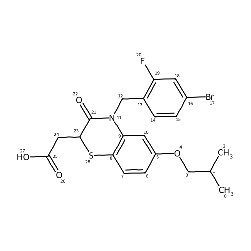 CC(C)COc1ccc2c(c1)N(Cc1ccc(Br)cc1F)C(=O)C(CC(=O)O)S2